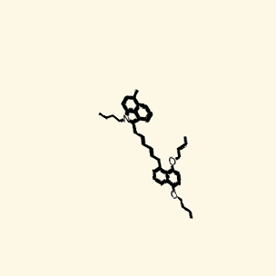 CCCCOc1ccc(OCCCC)c2c(C/C=C/C=C/C=c3\c4cccc5c(C)ccc(c54)n3CCCC)cccc12